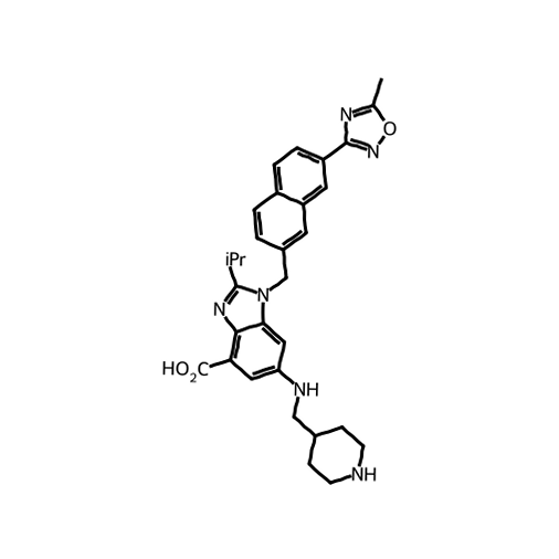 Cc1nc(-c2ccc3ccc(Cn4c(C(C)C)nc5c(C(=O)O)cc(NCC6CCNCC6)cc54)cc3c2)no1